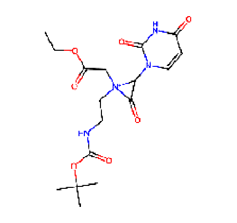 CCOC(=O)C[N+]1(CCNC(=O)OC(C)(C)C)C(=O)C1n1ccc(=O)[nH]c1=O